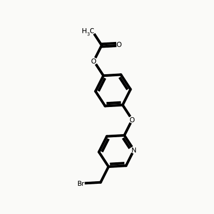 CC(=O)Oc1ccc(Oc2ccc(CBr)cn2)cc1